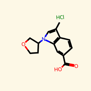 Cc1cn(C2CCOC2)c2cc(C(=O)O)ccc12.Cl